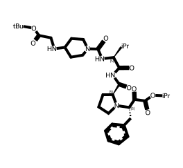 CC(C)OC(=O)C(=O)[C@H](Cc1ccccc1)N1CCC[C@H]1C(=O)NC(=O)[C@@H](NC(=O)N1CCC(NCC(=O)OC(C)(C)C)CC1)C(C)C